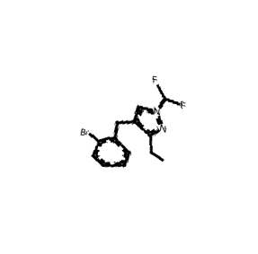 CCc1nn(C(F)F)cc1Cc1ccccc1Br